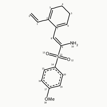 C=CC1=CCCC=C1/C=C(\N)S(=O)(=O)c1ccc(OC)cc1